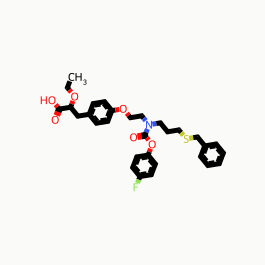 CCOC(Cc1ccc(OCCN(CCCSCc2ccccc2)C(=O)Oc2ccc(F)cc2)cc1)C(=O)O